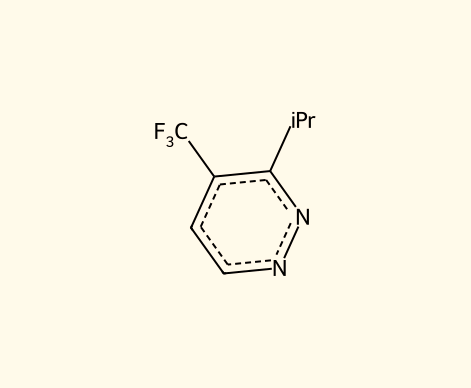 CC(C)c1nnccc1C(F)(F)F